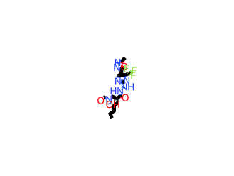 CCCCC[C@@H](CN(O)C=O)C(=O)NNc1ncc(-c2nnc(C)o2)c(C(F)(F)F)n1